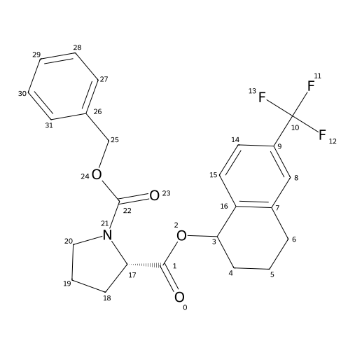 O=C(OC1CCCc2cc(C(F)(F)F)ccc21)[C@@H]1CCCN1C(=O)OCc1ccccc1